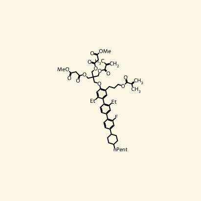 C=C(C)C(=O)OCCCc1cc(-c2ccc(-c3ccc(C4CCC(CCCCC)CC4)cc3F)cc2CC)c(CC)cc1OCC(COC(=O)CC(=O)OC)(COC(=O)CC(=O)OC)COC(=O)C(=C)C